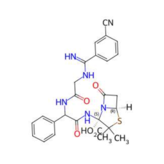 CC1(C)S[C@@H]2CC(=O)N2[C@@]1(NC(=O)C(NC(=O)CNC(=N)c1cccc(C#N)c1)c1ccccc1)C(=O)O